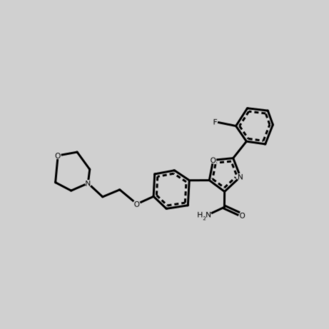 NC(=O)c1nc(-c2ccccc2F)oc1-c1ccc(OCCN2CCOCC2)cc1